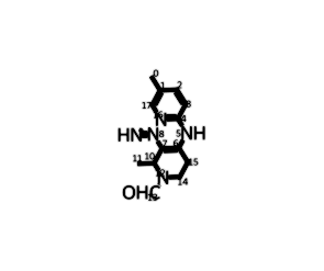 Cc1ccc(NC2=C(N=N)C(C)N(C=O)CC2)nc1